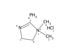 C[N+]1(C)C=NCC1.Cl.P